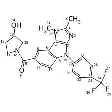 Cc1nc2c(c3cc(C(=O)N4CCC(O)C4)ccc3n2-c2ccc(C(F)(F)F)cc2)n1C